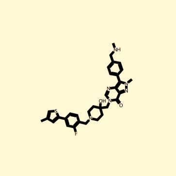 CNCc1ccc(-c2c3ncn(CC4(O)CCN(Cc5ccc(-c6cc(C)cs6)cc5F)CC4)c(=O)c3nn2C)cc1